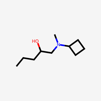 CCCC(O)CN(C)C1CCC1